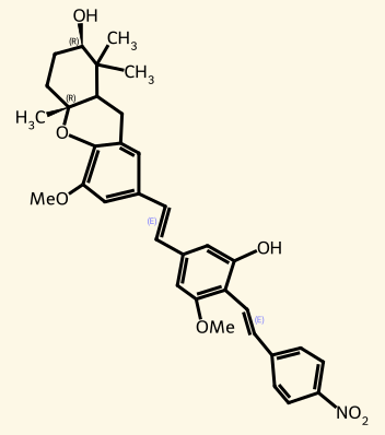 COc1cc(/C=C/c2cc3c(c(OC)c2)O[C@]2(C)CC[C@@H](O)C(C)(C)C2C3)cc(O)c1/C=C/c1ccc([N+](=O)[O-])cc1